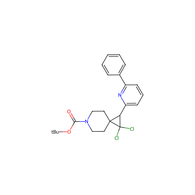 CC(C)(C)OC(=O)N1CCC2(CC1)C(c1cccc(-c3ccccc3)n1)C2(Cl)Cl